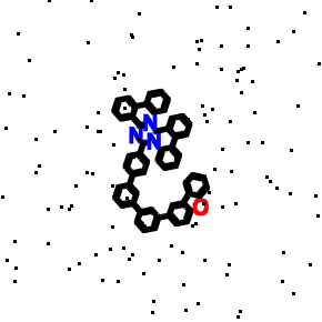 c1ccc(-c2ccccc2-c2nc(-c3ccc(-c4cccc(-c5cccc(-c6ccc7oc8ccccc8c7c6)c5)c4)cc3)nc(-c3ccccc3-c3ccccc3)n2)cc1